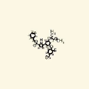 COC[C@H](C)Oc1cc(Oc2ccc(C=O)cc2F)cc(-c2ccc(C(=O)OCc3ccccc3)[nH]2)c1